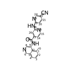 Cc1cccc2cncc(NC(=O)c3ccnc(Nc4ccc(C#N)cn4)c3)c12